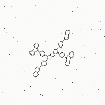 c1ccc2cc(-c3ccc(-c4cc5cc6c(cc(-c7ccc(-c8ccc9ccccc9c8)cc7)n6-c6ccc(-n7c8ccccc8c8ccccc87)cc6)cc5n4-c4ccc(-n5c6ccccc6c6ccccc65)cc4)cc3)ccc2c1